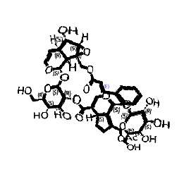 CC(=O)OCC1=C2[C@H](O[C@@H]3O[C@H](CO)[C@@H](O)[C@H](O)[C@H]3O)OC=C(C(=O)O[C@H]3[C@H](O[C@@H]4OC=C[C@H]5[C@H](O)[C@@H]6O[C@]6(COC(=O)/C=C/c6ccccc6)[C@@H]45)O[C@H](CO)[C@@H](O)[C@@H]3O)[C@H]2CC1